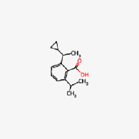 CC(C)c1cccc(C(C)C2CC2)c1C(=O)O